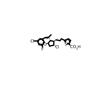 C/C(=C/c1cc(F)cc(Cl)c1)[C@@H]1[C@@H](CCCc2ccc(C(=O)O)s2)[C@H](Cl)C[C@H]1O